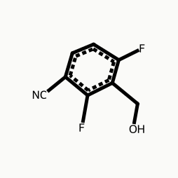 N#Cc1ccc(F)c(CO)c1F